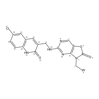 CC(C)Cn1c(=O)oc2cnc(NCc3cc4cc(Cl)ccc4[nH]c3=O)nc21